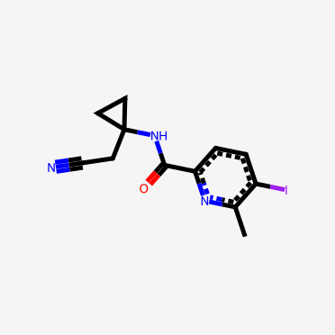 Cc1nc(C(=O)NC2(CC#N)CC2)ccc1I